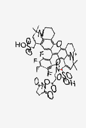 CN(CCC(=O)ON1C(=O)CCC1=O)C(=O)c1c(F)c(F)c(F)c(F)c1C1=c2cc3c4c(c2Oc2c1cc1c5c2CCCN5C(C)(C)C=C1CS(=O)(=O)O)CCC[N+]=4C(C)(C)C=C3CS(=O)(=O)O